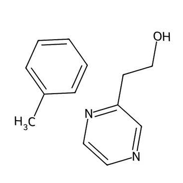 Cc1ccccc1.OCCc1cnccn1